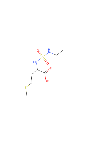 CCNS(=O)(=O)N[C@@H](CCSC)C(=O)O